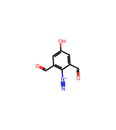 N#[N+]c1c(C=O)cc(O)cc1C=O